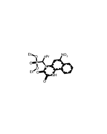 CCCC(n1c(=O)c(=O)[nH]c2c3ccccc3c([N+](=O)[O-])cc21)P(=O)(OCC)OCC